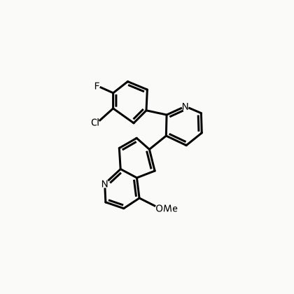 COc1ccnc2ccc(-c3cccnc3-c3ccc(F)c(Cl)c3)cc12